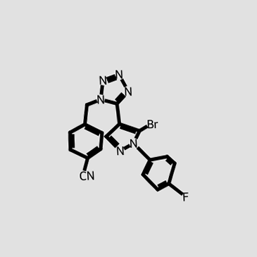 N#Cc1ccc(Cn2nnnc2-c2cnn(-c3ccc(F)cc3)c2Br)cc1